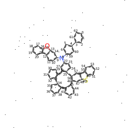 c1ccc(-c2ccc(N(c3ccc4c(c3)oc3ccccc34)c3ccc4c(c3)c3ccccc3c3ccccc3c3ccccc3c3cc5sc6ccccc6c5cc43)cc2)cc1